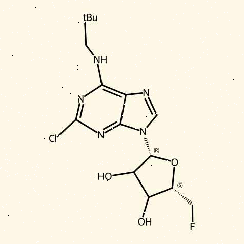 CC(C)(C)CNc1nc(Cl)nc2c1ncn2[C@@H]1O[C@H](CF)C(O)C1O